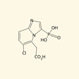 O=C(O)Cc1c(Cl)ccc2ncc(P(=O)(O)O)n12